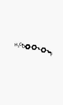 CCOc1ccc([C@H]2CC[C@H](CC[C@H]3CC[C@H](C/C=C/F)CC3)CC2)cc1